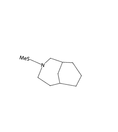 CSN1CCC2CCCC(C2)C1